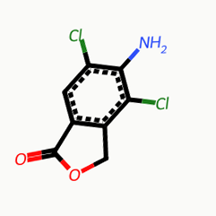 Nc1c(Cl)cc2c(c1Cl)COC2=O